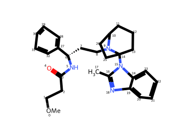 COCCC(=O)N[C@@H](CCN1C2CCCC1(n1c(C)nc3ccccc31)CC2)c1ccccc1